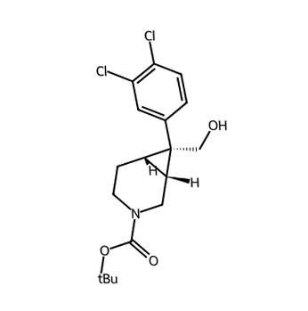 CC(C)(C)OC(=O)N1CC[C@H]2[C@@H](C1)[C@]2(CO)c1ccc(Cl)c(Cl)c1